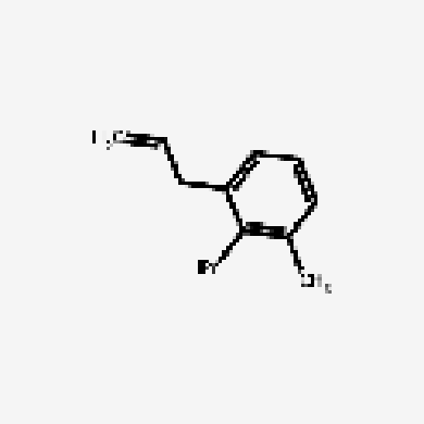 C=CCc1cccc(C)c1C(C)C